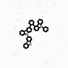 c1ccc(-n2c3ccccc3c3c(-c4ccccc4-c4ccc5c(c4)c4ccccc4n5-c4ccc5sc6ccccc6c5c4)cccc32)cc1